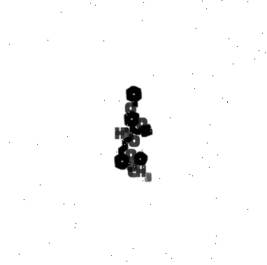 COc1cccc(CCCC(=O)NC2CC3(CCC3)Oc3cc(OCc4ccccc4)ccc32)c1OC1CCCC1